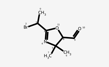 CC(Br)C1=NC(C)(C)C(C=O)O1